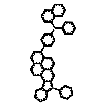 c1ccc(N(c2ccc(-c3ccc4ccc5c6c(ccc3c46)cc3c5c4ccccc4n3-c3ccccc3)cc2)c2cccc3ccccc23)cc1